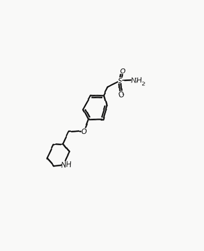 NS(=O)(=O)Cc1ccc(OCC2CCCNC2)cc1